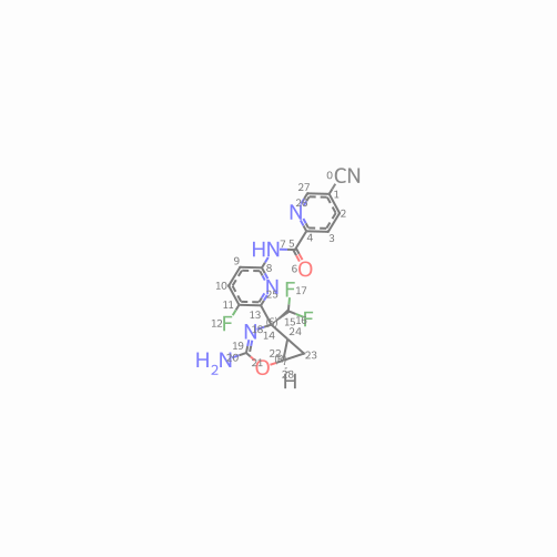 N#Cc1ccc(C(=O)Nc2ccc(F)c([C@@]3(C(F)F)N=C(N)O[C@@H]4CC43)n2)nc1